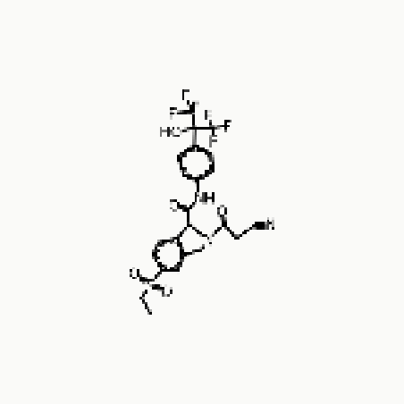 CCS(=O)(=O)c1ccc2c(c1)CN(C(=O)CC#N)C2C(=O)Nc1ccc(C(O)(C(F)(F)F)C(F)(F)F)cc1